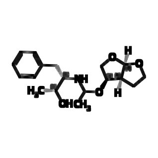 CC(N[C@@H](Cc1ccccc1)[C@@H](C)O)O[C@H]1CO[C@H]2OCC[C@H]21